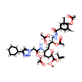 C=CC[C@]1(C(=O)OC)C[C@H](OC(C)=O)[C@@H](NC(=O)Cn2cc(C3CCCCC3)nn2)[C@H]([C@H](OC(C)=O)[C@@H](CNC(=O)c2cc(C)c(OC(C)=O)c(C)c2)OC(C)=O)O1